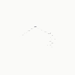 CCCCCCCC/C=C\CCCCCCCC(=O)N(C)CC(O)C(O)C(O)C(O)CO